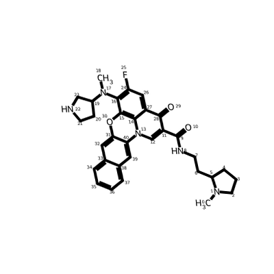 CN1CCCC1CCNC(=O)c1cn2c3c(c(N(C)C4CCNC4)c(F)cc3c1=O)Oc1cc3ccccc3cc1-2